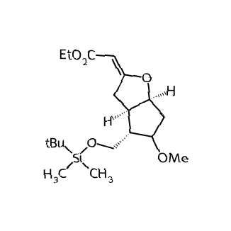 CCOC(=O)/C=C1\C[C@H]2[C@H](CC(OC)[C@@H]2CO[Si](C)(C)C(C)(C)C)O1